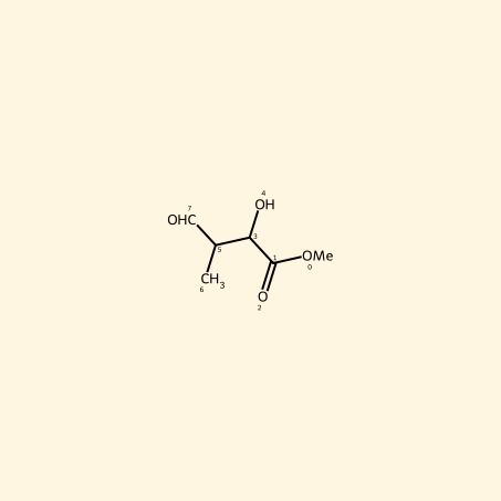 COC(=O)C(O)C(C)C=O